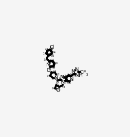 FC(F)(F)c1nnc(-c2cc3nc(CN4CCC(Oc5cccc(Cc6ccc(Cl)cc6)n5)CC4)n(CC4CCO4)c3cn2)[nH]1